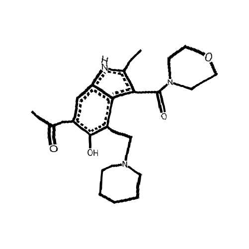 CC(=O)c1cc2[nH]c(C)c(C(=O)N3CCOCC3)c2c(CN2CCCCC2)c1O